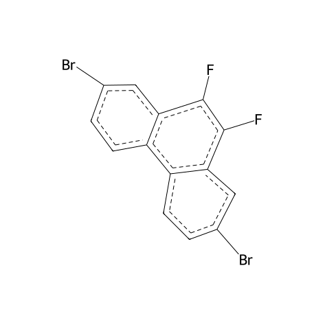 Fc1c(F)c2cc(Br)ccc2c2ccc(Br)cc12